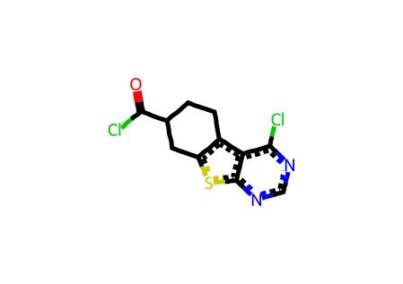 O=C(Cl)C1CCc2c(sc3ncnc(Cl)c23)C1